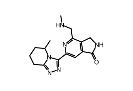 CNCc1nc(-c2nnc3n2C(C)CCC3)cc2c1CNC2=O